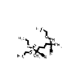 CCOPC(C)(C#N)CCCC(C)(C#N)P(=S)(OCC)OCC